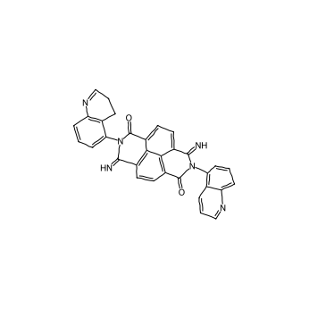 N=C1c2ccc3c4c(ccc(c24)C(=O)N1c1cccc2c1CCC=N2)C(=N)N(c1cccc2ncccc12)C3=O